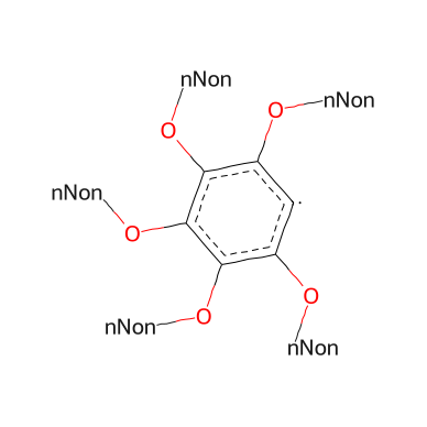 CCCCCCCCCOc1[c]c(OCCCCCCCCC)c(OCCCCCCCCC)c(OCCCCCCCCC)c1OCCCCCCCCC